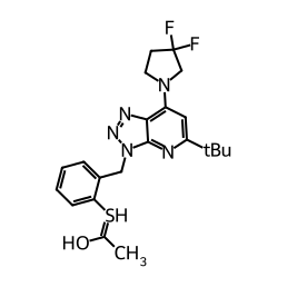 CC(O)=[SH]c1ccccc1Cn1nnc2c(N3CCC(F)(F)C3)cc(C(C)(C)C)nc21